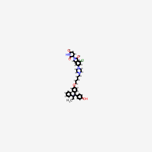 CC/C(=C(\c1ccc(O)cc1)c1ccc(OCCCCCN2CCN(c3cc(Cl)c4c(c3)CN(C3CCC(=O)NC3=O)C4=O)CC2)cc1)c1ccccc1